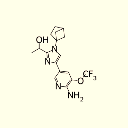 CC(O)c1nc(-c2cnc(N)c(OC(F)(F)F)c2)cn1C12CCC(C1)C2